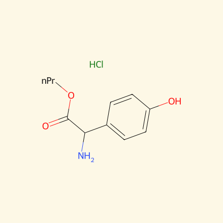 CCCOC(=O)C(N)c1ccc(O)cc1.Cl